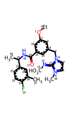 CCOc1cc(Cn2ccn(C)c2=NC(=O)O)cc(C(=O)NC(C)c2ccc(F)c(C)c2)c1